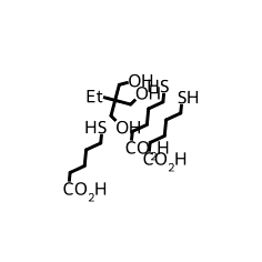 CCC(CO)(CO)CO.O=C(O)CCCCS.O=C(O)CCCCS.O=C(O)CCCCS